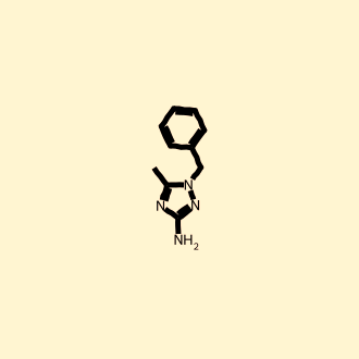 Cc1nc(N)nn1Cc1ccccc1